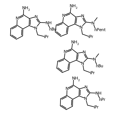 CCCCCN(C)c1nc2c(N)nc3ccccc3c2n1CC(C)C.CCCCN(C)c1nc2c(N)nc3ccccc3c2n1CC(C)C.CCCCNc1nc2c(N)nc3ccccc3c2n1CC(C)C.CCCNc1nc2c(N)nc3ccccc3c2n1CC(C)C